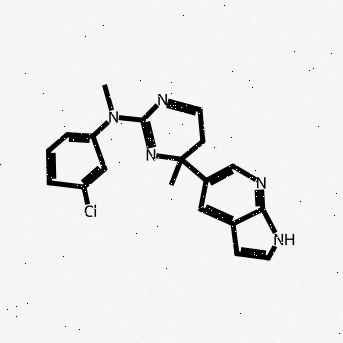 CN(C1=NC(C)(c2cnc3[nH]ccc3c2)CC=N1)c1cccc(Cl)c1